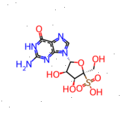 Nc1nc2c(ncn2[C@@H]2O[C@@](CO)(S(=O)(=O)O)[C@@H](O)[C@H]2O)c(=O)[nH]1